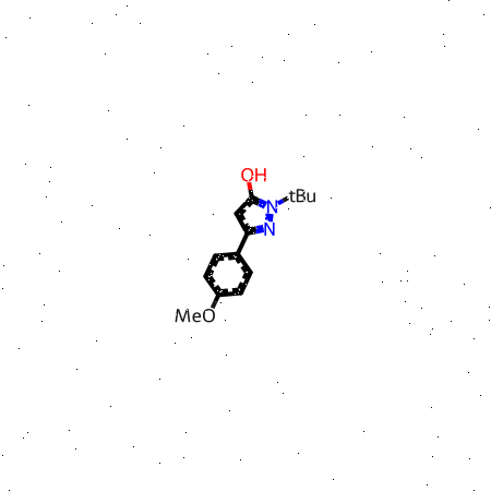 COc1ccc(-c2cc(O)n(C(C)(C)C)n2)cc1